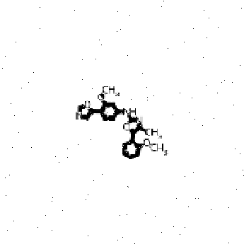 COc1cc(Nc2nc(C)c(-c3ccccc3OC)o2)ccc1-c1cnco1